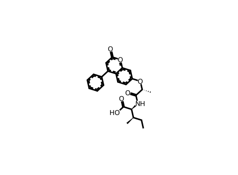 CC[C@@H](C)[C@H](NC(=O)[C@@H](C)Oc1ccc2c(-c3ccccc3)cc(=O)oc2c1)C(=O)O